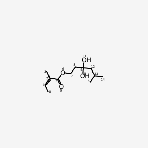 CC=C(C)C(=O)OCCC(O)(O)CC(C)C